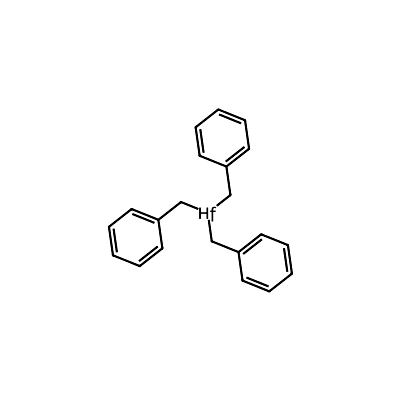 c1ccc([CH2][Hf]([CH2]c2ccccc2)[CH2]c2ccccc2)cc1